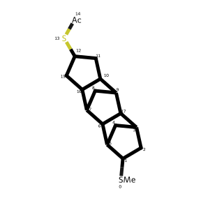 CSC1CC2CC1C1C3CC(C4CC(SC(C)=O)CC43)C21